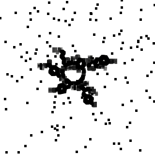 CN[C@@H](Cc1ccc(Cl)cc1)C(=O)N[C@@H]1CSSC2[C@@H](C(=O)N[C@H](Cc3ccc(O)cc3)C(N)=O)NC(=O)[C@@H](NC(=O)[C@H](CCCCN)NC(=O)[C@@H](Cc3ccc(C(N)=O)cc3)NC(=O)[C@H](Cc3ccc(O)cc3)NC1=O)[C@@H]2O